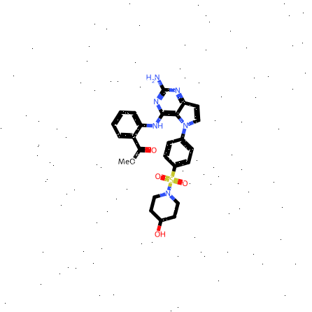 COC(=O)c1ccccc1Nc1nc(N)nc2ccn(-c3ccc(S(=O)(=O)N4CCC(O)CC4)cc3)c12